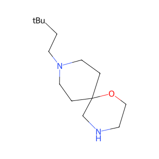 CC(C)(C)CCN1CCC2(CC1)CNCCO2